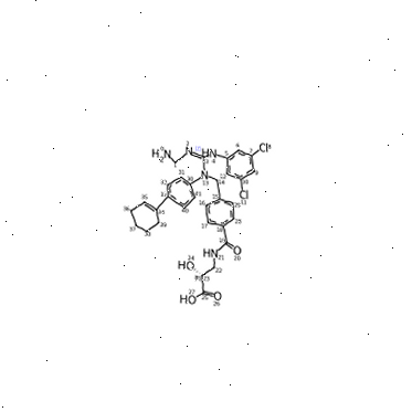 NC/N=C(/Nc1cc(Cl)cc(Cl)c1)N(Cc1ccc(C(=O)NC[C@@H](O)C(=O)O)cc1)c1ccc(C2=CCCCC2)cc1